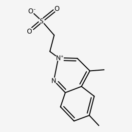 Cc1ccc2n[n+](CCS(=O)(=O)[O-])cc(C)c2c1